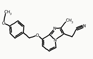 COc1ccc(COc2cccn3c(CC#N)c(C)nc23)cc1